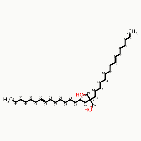 CCCCCCC=CCCCCCCCCC(CO)(CO)CCCCCCCCC=CCCCCCC